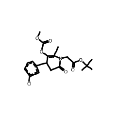 COC(=O)OC1=C(C)N(CC(=O)OC(C)(C)C)C(=O)CC1c1cccc(Cl)c1